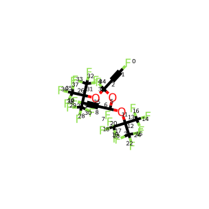 FC#CC(F)(OC(F)(C#CF)OC(C(F)(F)F)(C(F)(F)F)C(F)(F)F)OC(C(F)(F)F)(C(F)(F)F)C(F)(F)F